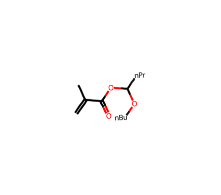 C=C(C)C(=O)OC(CCC)OCCCC